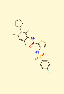 Cc1cc(C)c(C2CCCC2)c(C)c1NC(=O)c1sccc1NS(=O)(=O)c1ccc(F)cc1